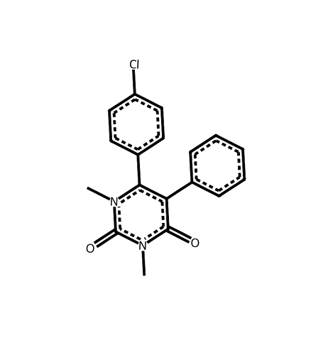 Cn1c(-c2ccc(Cl)cc2)c(-c2ccccc2)c(=O)n(C)c1=O